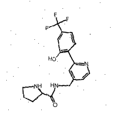 O=C(NCc1ccnc(-c2ccc(C(F)(F)F)cc2O)c1)C1CCCN1